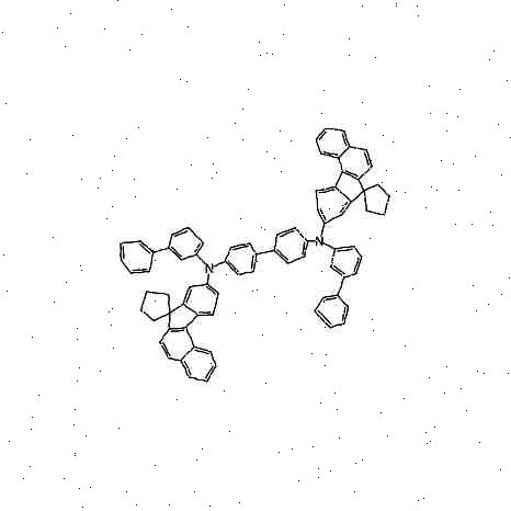 c1ccc(-c2cccc(N(c3ccc(-c4ccc(N(c5cccc(-c6ccccc6)c5)c5ccc6c(c5)C5(CCCC5)c5ccc7ccccc7c5-6)cc4)cc3)c3ccc4c(c3)C3(CCCC3)c3ccc5ccccc5c3-4)c2)cc1